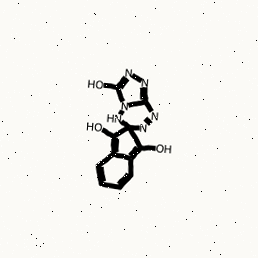 OC1=c2ccccc2=C(O)C12N=Nc1nnc(O)n1N2